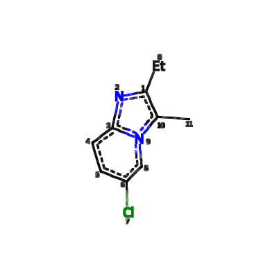 CCc1nc2ccc(Cl)cn2c1C